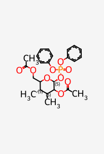 CC(=O)OCC1O[C@@H](OP(=O)(Oc2ccccc2)Oc2ccccc2)C(OC(C)=O)[C@@H](C)[C@@H]1C